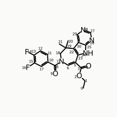 CCOC(=O)C1=CN(C(=O)c2ccc(F)c(F)c2)CC(C)(C)c2c1[nH]c1ncncc21